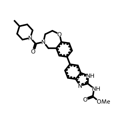 COC(=O)Nc1nc2ccc(-c3ccc4c(c3)CN(C(=O)N3CCC(C)CC3)CCO4)cc2[nH]1